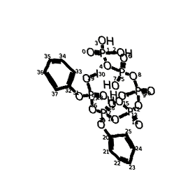 O=P(O)(O)OP(=O)(O)OP(=O)(O)OP(=O)(O)OP(=O)(Oc1ccccc1)OP(=O)(OI)Oc1ccccc1